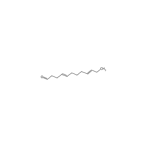 CCC=CCCCC=CCCC=O